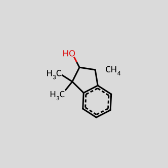 C.CC1(C)c2ccccc2CC1O